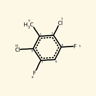 Cc1c(Cl)c(F)cc(F)c1Cl